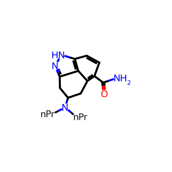 CCCN(CCC)C1Cc2n[nH]c3ccc(C(N)=O)c(c23)C1